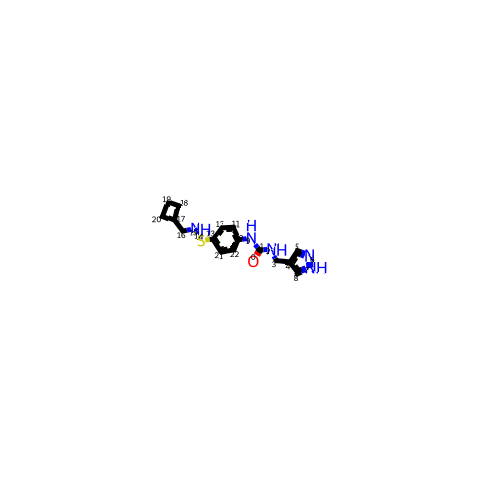 O=C(NCc1cn[nH]c1)Nc1ccc(SNCC2CCC2)cc1